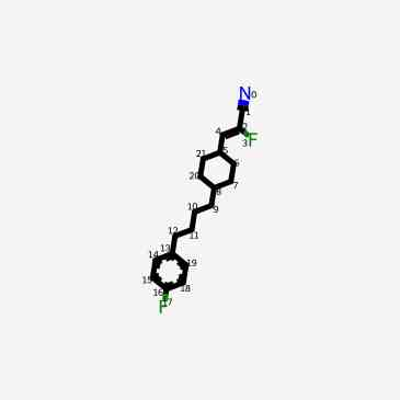 N#CC(F)=CC1CCC(CCCCc2ccc(F)cc2)CC1